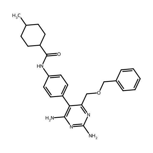 CC1CCC(C(=O)Nc2ccc(-c3c(N)nc(N)nc3COCc3ccccc3)cc2)CC1